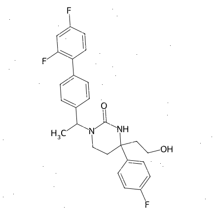 CC(c1ccc(-c2ccc(F)cc2F)cc1)N1CCC(CCO)(c2ccc(F)cc2)NC1=O